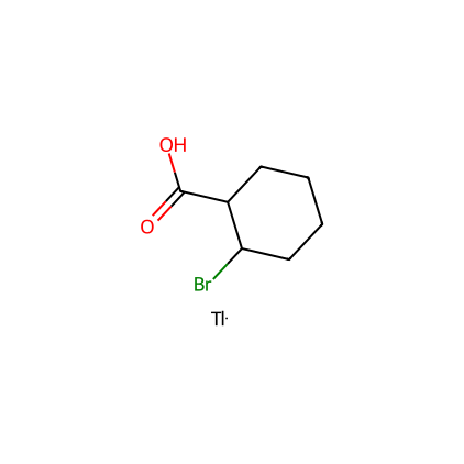 O=C(O)C1CCCCC1Br.[Tl]